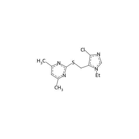 CCn1cnc(Cl)c1CSc1nc(C)cc(C)n1